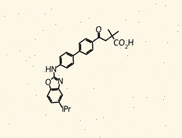 CC(C)c1ccc2oc(Nc3ccc(-c4ccc(C(=O)CC(C)(C)C(=O)O)cc4)cc3)nc2c1